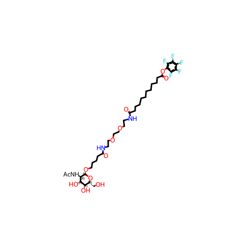 CC(=O)N[C@H]1[C@H](OCCCCC(=O)NCCOCCOCCNC(=O)CCCCCCCCCCC(=O)Oc2c(F)c(F)c(F)c(F)c2F)O[C@H](CO)[C@H](O)[C@@H]1O